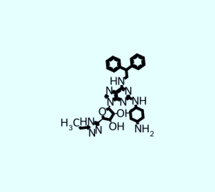 CCc1nnc([C@H]2O[C@@H](n3cnc4c(NCC(c5ccccc5)c5ccccc5)nc(NC5CCC(N)CC5)nc43)[C@H](O)[C@@H]2O)[nH]1